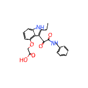 CCc1[nH]c2cccc(OCC(=O)O)c2c1C(=O)C(=O)NCc1ccccc1